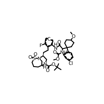 COC(=O)NC(C(=O)Nc1cccc(F)c1CC[C@H]1CN(C(=O)OC(C)(C)C)[C@@H]2CCCS(=O)(=O)N1C2)C1(c2ccc(Cl)cc2)CCC(OC)CC1